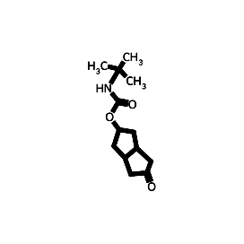 CC(C)(C)NC(=O)OC1CC2CC(=O)CC2C1